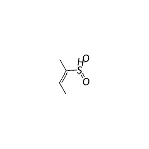 C/C=C(/C)[SH](=O)=O